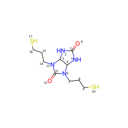 O=C1NC2C(N1)N(CCCS)C(=O)N2CCCS